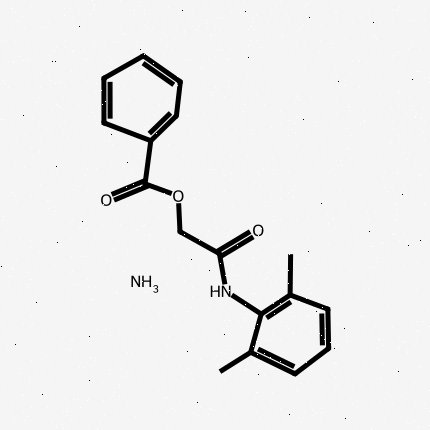 Cc1cccc(C)c1NC(=O)COC(=O)c1ccccc1.N